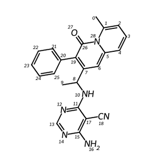 Cc1cccc2cc(C(C)Nc3ncnc(N)c3C#N)c(-c3ccccc3)c(=O)n12